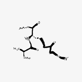 COC(=O)[C@H](CCC(=O)C=[N+]=[N-])NC(=O)[C@H](C)SC